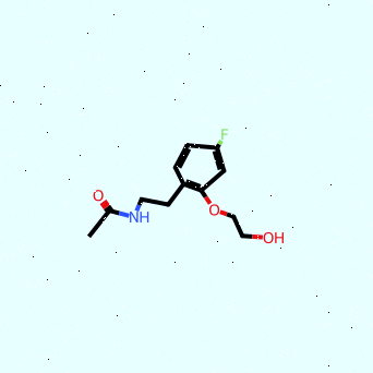 CC(=O)NCCc1ccc(F)cc1OCCO